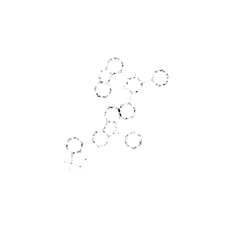 CC1(C)c2cccc(-c3ccc4c(c3)c3cc(-c5ccc6sc7cccc(-c8nc(-c9ccccc9)nc(-c9ccccc9)n8)c7c6c5)ccc3n4-c3ccccc3)c2C(C)(C)C1(C)C